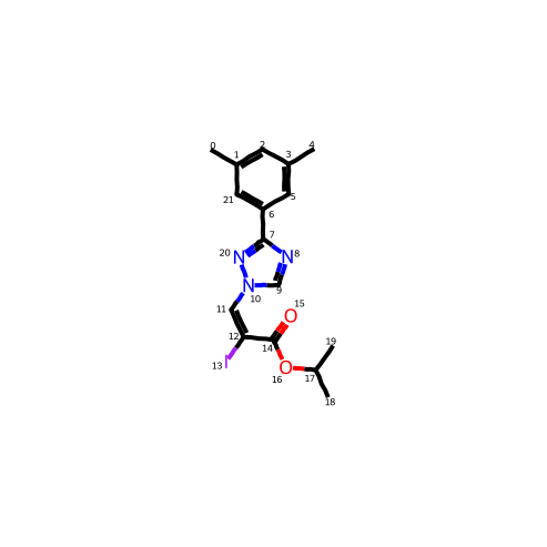 Cc1cc(C)cc(-c2ncn(/C=C(/I)C(=O)OC(C)C)n2)c1